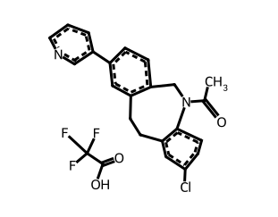 CC(=O)N1Cc2ccc(-c3cccnc3)cc2CCc2cc(Cl)ccc21.O=C(O)C(F)(F)F